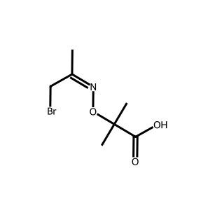 CC(CBr)=NOC(C)(C)C(=O)O